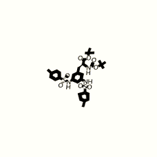 Cc1ccc(S(=O)(=O)Nc2cc(C[C@H](NC(=O)OC(C)(C)C)C(=O)OC(C)(C)C)cc(NS(=O)(=O)c3ccc(C)cc3)c2)cc1